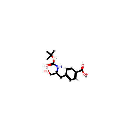 CC(C)(C)OC(=O)NC(CO)Cc1ccc(C(=O)O)cc1